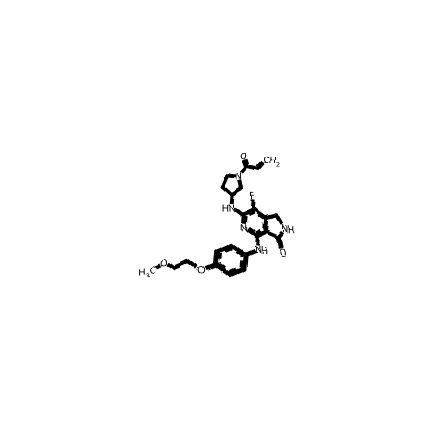 C=CC(=O)N1CCC(Nc2nc(Nc3ccc(OCCOC)cc3)c3c(c2F)CNC3=O)C1